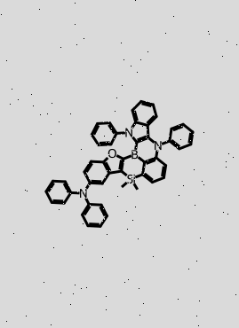 C[Si]1(C)c2cccc3c2B(c2oc4ccc(N(c5ccccc5)c5ccccc5)cc4c21)c1c(c2ccccc2n1-c1ccccc1)N3c1ccccc1